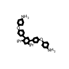 CC(C)c1cc(C(C)C)c(-c2ccc(Oc3ccc(N)cc3)cc2)cc1-c1ccc(Oc2ccc(N)cc2)cc1